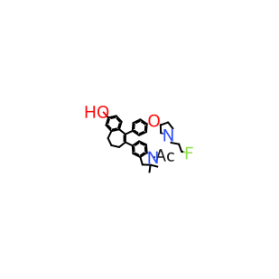 CC(=O)N1c2ccc(C3=C(c4ccc(O[C@H]5CCN(CCCF)C5)cc4)c4ccc(O)cc4CCC3)cc2CC1(C)C